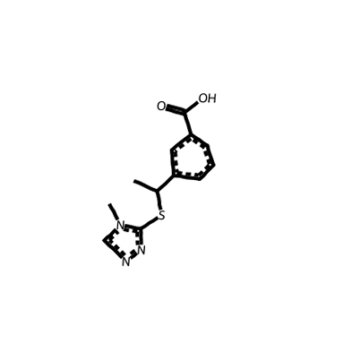 CC(Sc1nncn1C)c1cccc(C(=O)O)c1